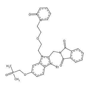 CC[n+]1c(CN2C(=O)c3ccccc3C2=O)n(CCOCCn2ccccc2=O)c2cc(OCP(C)(C)=O)ccc21